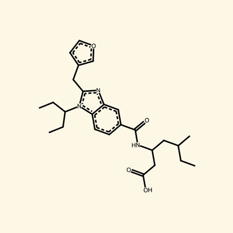 CCC(C)CC(CC(=O)O)NC(=O)c1ccc2c(c1)nc(Cc1ccoc1)n2C(CC)CC